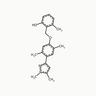 Cc1cc(-c2cc(C)n(C)n2)c(C)cc1OCc1c(C)cccc1O